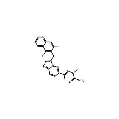 CC(=NN(C)C(N)=O)c1ccc2ncc(Cc3c(F)cc4ncccc4c3F)n2n1